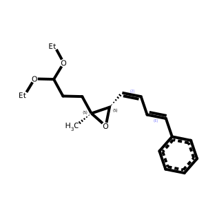 CCOC(CC[C@]1(C)O[C@H]1/C=C\C=C\c1ccccc1)OCC